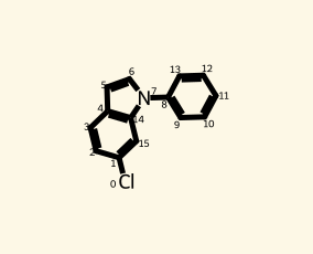 Clc1ccc2ccn(-c3ccccc3)c2c1